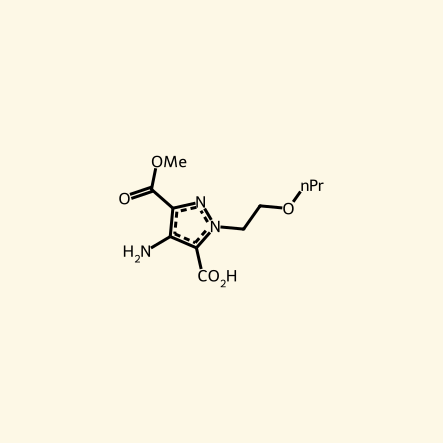 CCCOCCn1nc(C(=O)OC)c(N)c1C(=O)O